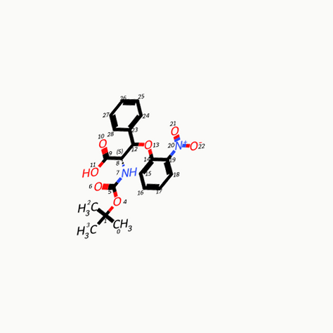 CC(C)(C)OC(=O)N[C@H](C(=O)O)C(Oc1ccccc1[N+](=O)[O-])c1ccccc1